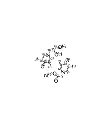 CCCOC(=O)Cn1cc(I)c(=O)c(I)c1.O=c1c(I)cn(CC(O)CO)cc1I